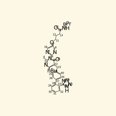 CCCCc1nc(C)n(-c2ncc(OCCCC(=O)NCCC)cn2)c(=O)c1Cc1ccc(-c2ccccc2-c2nnn[nH]2)cc1